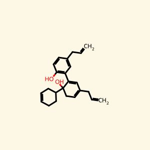 C=CCC1=CCC(O)(C2CC=CCC2)C(c2cc(CC=C)ccc2O)=C1